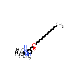 CCCCCCCCCCCCCCCCOC(=O)CC1CCCC2(C1)NC(C)(C)C(C)(C)N2